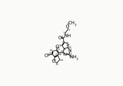 COCCNC(=O)C1=CC2C(=NC(N)=NC2c2c(Cl)cc(Cl)c3c2CCO3)S1